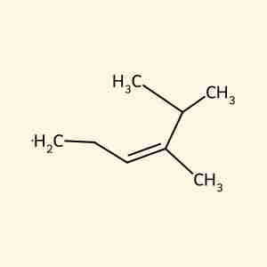 [CH2]CC=C(C)C(C)C